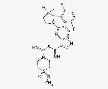 CN=S1(=O)CCN(C(=N)SC(=N)c2cnn3ccc(N4CC[C@H]5C[C@]54c4cc(F)ccc4F)nc23)CC1